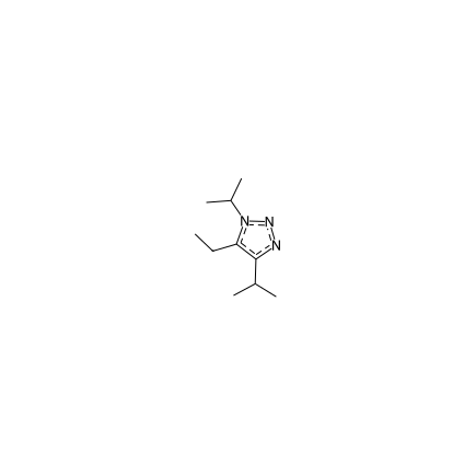 CCc1c(C(C)C)nnn1C(C)C